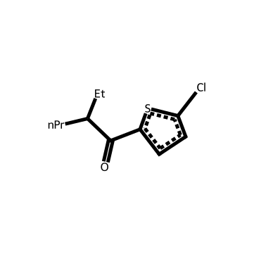 CCCC(CC)C(=O)c1ccc(Cl)s1